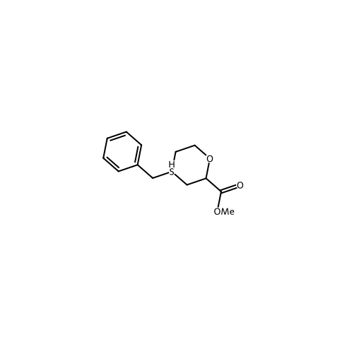 COC(=O)C1C[SH](Cc2ccccc2)CCO1